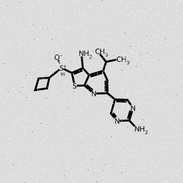 CC(C)c1cc(-c2cnc(N)nc2)nc2sc([S@@+]([O-])C3CCC3)c(N)c12